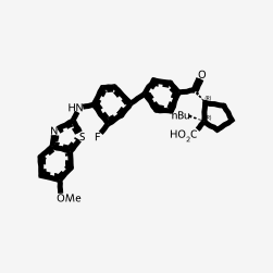 CCCC[C@@]1(C(=O)O)CCC[C@H]1C(=O)c1ccc(-c2ccc(Nc3nc4ccc(OC)cc4s3)c(F)c2)cc1